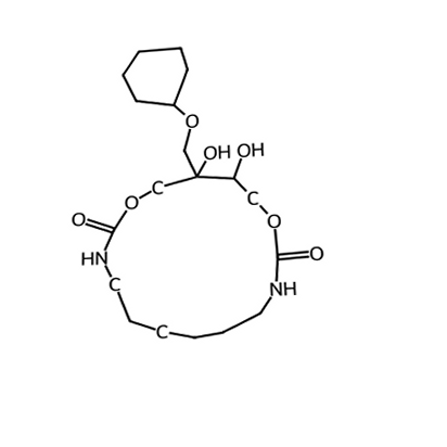 O=C1NCCCCCCNC(=O)OCC(O)(COC2CCCCC2)C(O)CO1